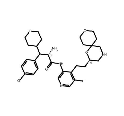 N[C@H](C(=O)Nc1cncc(F)c1CC[C@@H]1CNCC2(CCOCC2)O1)C(c1ccc(Cl)cc1)C1CCOCC1